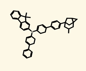 CC1CC2(c3ccc(C4=CC=C(N(C5=CC=C(c6ccccc6)CC5)c5ccc6c(c5)C(C)(C)c5ccccc5-6)CC4)cc3)CC3CC3(C1)C2